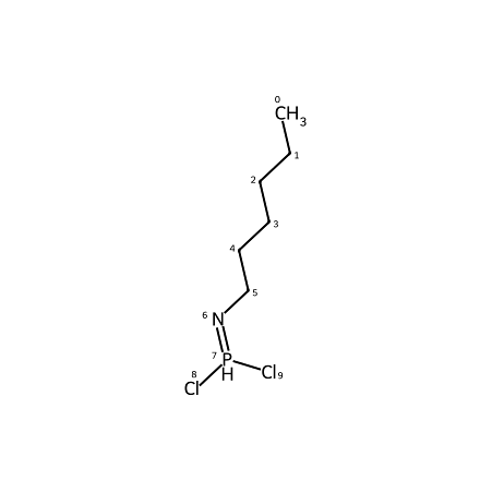 CCCCCCN=[PH](Cl)Cl